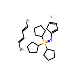 C1=CCC(N=P(C2CCCC2)(C2CCCC2)C2CCCC2)=C1.CC(C)C=CC=CC(C)C.[Ti]